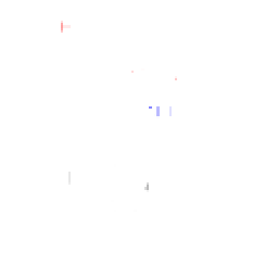 CC(C)(C)[Si](OC[C@H](CC=CCO)NC(=O)O)(c1ccccc1)c1ccccc1